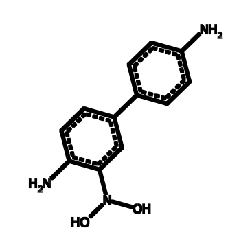 Nc1ccc(-c2ccc(N)c(N(O)O)c2)cc1